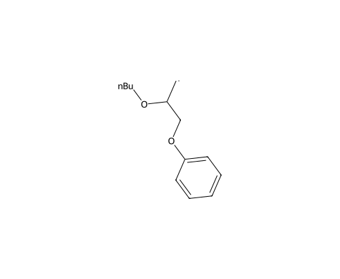 [CH2]C(COc1ccccc1)OCCCC